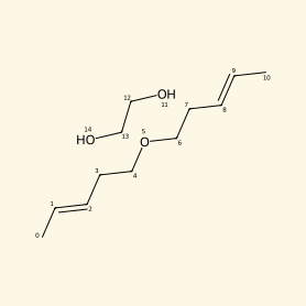 C/C=C/CCOCC/C=C/C.OCCO